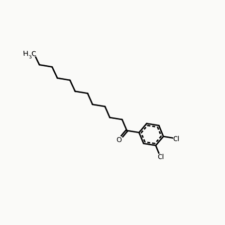 CCCCCCCCCCCC(=O)c1ccc(Cl)c(Cl)c1